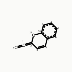 O=C=C1C=Cc2ccccc2O1